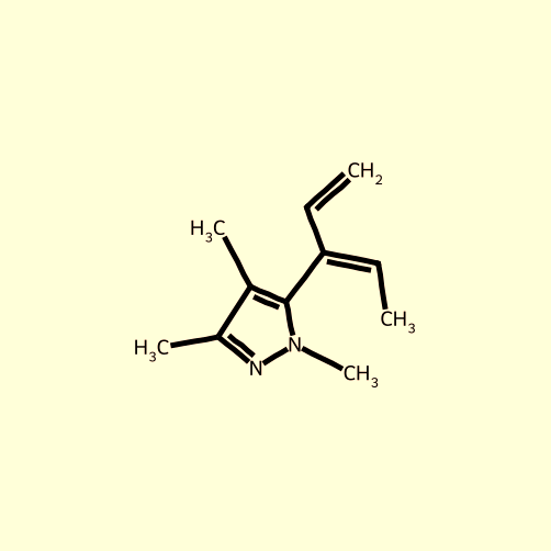 C=C/C(=C/C)c1c(C)c(C)nn1C